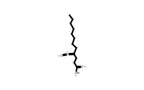 CCCCCCCCC(=C=O)CCC(=O)O